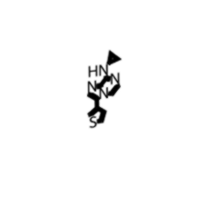 c1cn2c(-c3ccsc3)cnc2c(NC2CC2)n1